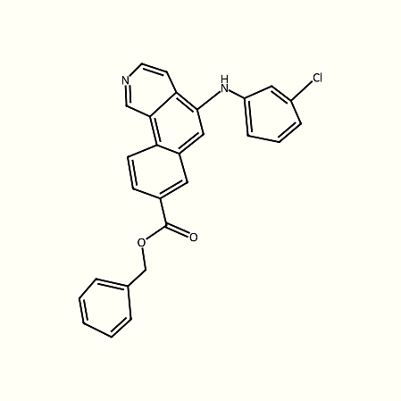 O=C(OCc1ccccc1)c1ccc2c(c1)cc(Nc1cccc(Cl)c1)c1ccncc12